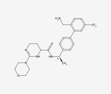 C[C@@H](NC(=O)C1CCN=C(N2CCOCC2)N1)c1ccc(-c2cc(C(F)(F)F)ccc2CN)cc1